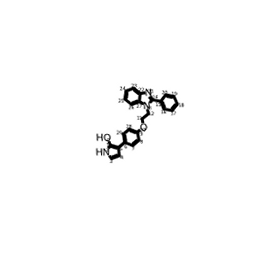 Oc1[nH]ccc1-c1ccc(OCCn2c(-c3ccccc3)nc3ccccc32)cc1